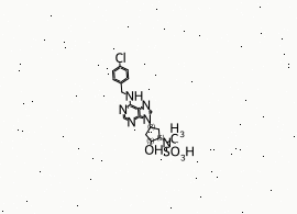 CN([C@H]1C[C@@H](n2cnc3c(NCc4ccc(Cl)cc4)ncnc32)C[C@@H]1O)S(=O)(=O)O